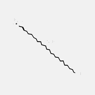 CCCCCCCCCCCCCCCCCCCCCCCC=CCS(=O)(=O)O.[NaH]